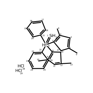 CC1=CC(C)=[C]([Hf](=[SiH2])([C]2=C(C)C=C(C)C2)([c]2ccccc2)[c]2ccccc2)C1.Cl.Cl